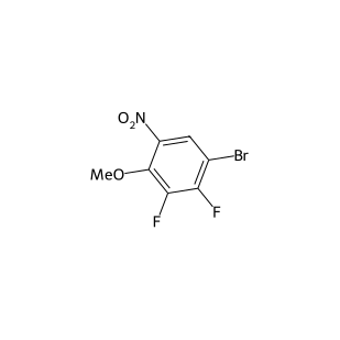 COc1c([N+](=O)[O-])cc(Br)c(F)c1F